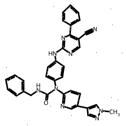 Cn1cc(-c2ccc(N(C(=O)NCc3ccccc3)c3ccc(Nc4ncc(C#N)c(-c5ccccc5)n4)cc3)nc2)cn1